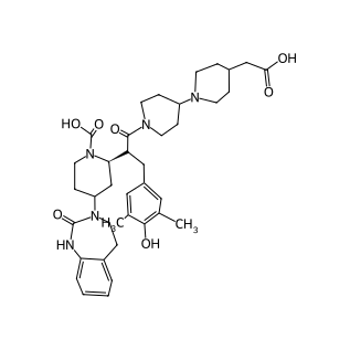 Cc1cc(CC(C(=O)N2CCC(N3CCC(CC(=O)O)CC3)CC2)[C@H]2CC(N3CCc4ccccc4NC3=O)CCN2C(=O)O)cc(C)c1O